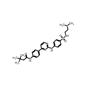 CN(C)CCNS(=O)(=O)c1ccc(Nc2nccc(-c3ccc(NC(=O)CC(C)(C)C)cc3)n2)cc1